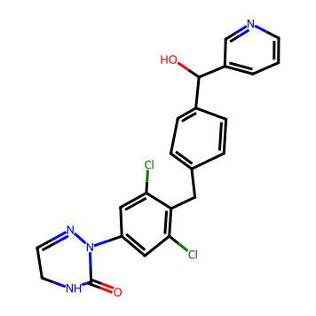 O=C1NCC=NN1c1cc(Cl)c(Cc2ccc(C(O)c3cccnc3)cc2)c(Cl)c1